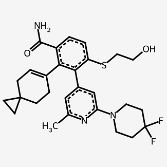 Cc1cc(-c2c(SCCO)ccc(C(N)=O)c2C2=CCC3(CC2)CC3)cc(N2CCC(F)(F)CC2)n1